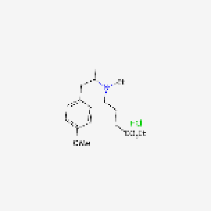 CCOC(=O)CCCN(CC)C(C)Cc1ccc(OC)cc1.Cl